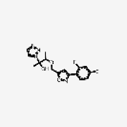 CC(OCc1cc(-c2ccc(Cl)cc2F)no1)C(C)(O)n1ccnn1